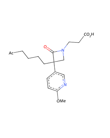 COc1ccc(C2(CCCCC(C)=O)CN(CCC(=O)O)C2=O)cn1